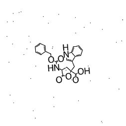 O=C(N[C@H]1CC(Cc2c[nH]c3ccccc23)(C(=O)O)OC1=O)OCc1ccccc1